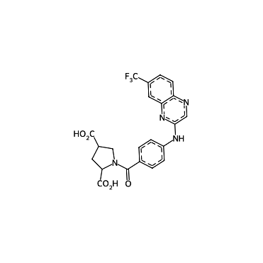 O=C(O)C1CC(C(=O)O)N(C(=O)c2ccc(Nc3cnc4ccc(C(F)(F)F)cc4n3)cc2)C1